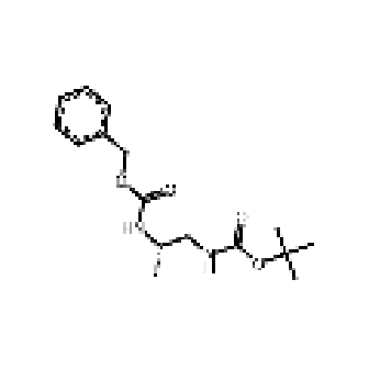 C[C@@H](CNC(=O)OC(C)(C)C)NC(=O)OCc1ccccc1